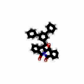 O=c1c2ccccc2c2oc(-c3cc(-c4ccccc4)cc(-c4ccccc4)c3)c3c4ccccc4c(=O)n1c23